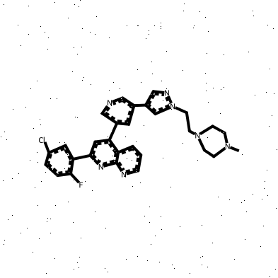 CN1CCN(CCn2cc(-c3cncc(-c4cc(-c5cc(Cl)ccc5F)nc5ncccc45)c3)cn2)CC1